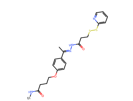 CCNC(=O)CCCOc1ccc(/C(C)=N/NC(=O)CCSSc2ccccn2)cc1